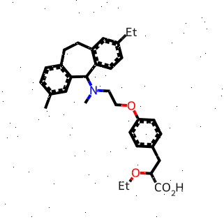 CCOC(Cc1ccc(OCCN(C)C2c3ccc(CC)cc3CCc3ccc(C)cc32)cc1)C(=O)O